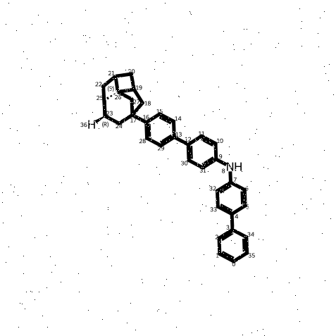 c1ccc(-c2ccc(Nc3ccc(-c4ccc(C56CC7CC8C[C@@H](C5)C[C@]87C6)cc4)cc3)cc2)cc1